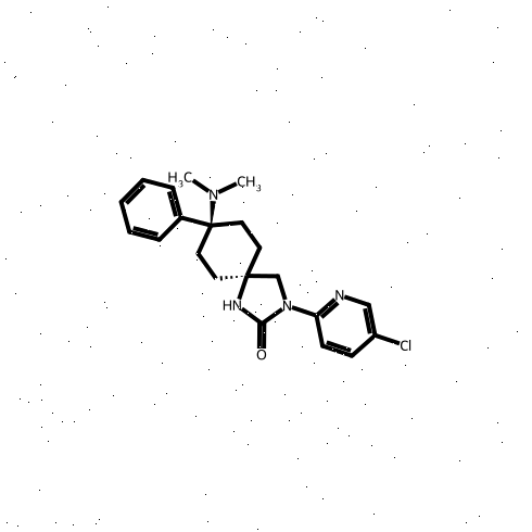 CN(C)[C@]1(c2ccccc2)CC[C@]2(CC1)CN(c1ccc(Cl)cn1)C(=O)N2